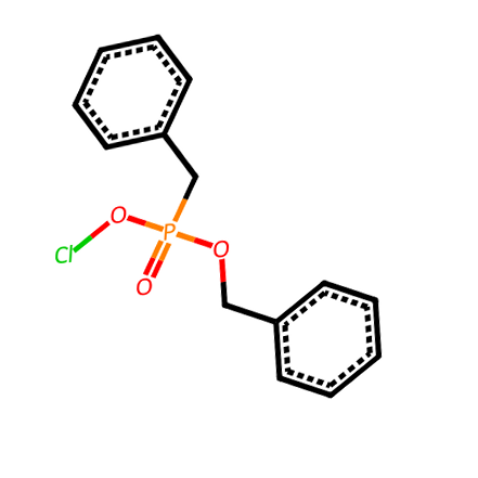 O=P(Cc1ccccc1)(OCl)OCc1ccccc1